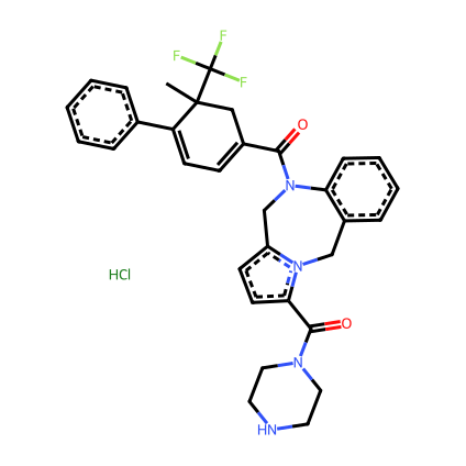 CC1(C(F)(F)F)CC(C(=O)N2Cc3ccc(C(=O)N4CCNCC4)n3Cc3ccccc32)=CC=C1c1ccccc1.Cl